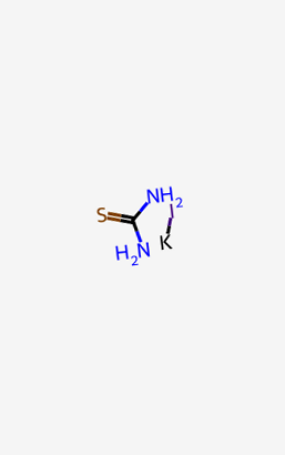 NC(N)=S.[K][I]